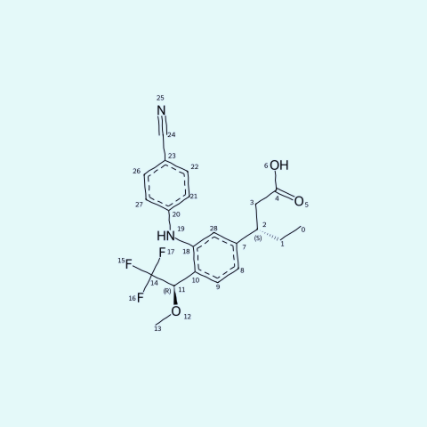 CC[C@@H](CC(=O)O)c1ccc([C@@H](OC)C(F)(F)F)c(Nc2ccc(C#N)cc2)c1